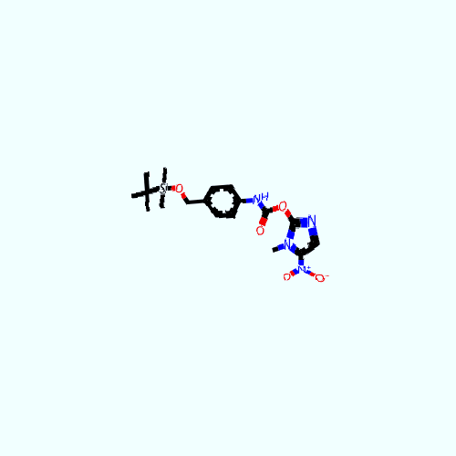 Cn1c([N+](=O)[O-])cnc1OC(=O)Nc1ccc(CO[Si](C)(C)C(C)(C)C)cc1